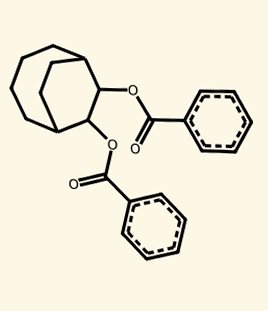 O=C(OC1C2CCCCC(CC2)C1OC(=O)c1ccccc1)c1ccccc1